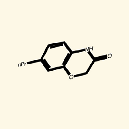 CCCc1ccc2c(c1)OCC(=O)N2